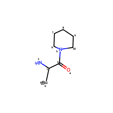 CC(C)(C)C([NH])C(=O)N1CCCCC1